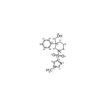 Cn1cnc(S(=O)(=O)N2CCCC(CO)(c3ccccc3)C2)c1